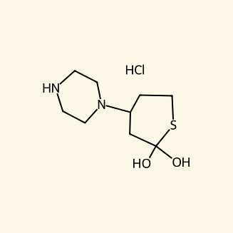 Cl.OC1(O)CC(N2CCNCC2)CCS1